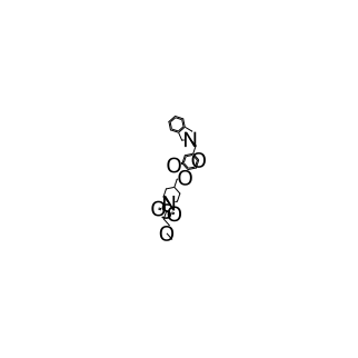 COCCS(=O)(=O)N1CCC(COc2coc(CN3Cc4ccccc4C3)cc2=O)CC1